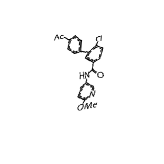 COc1ccc(NC(=O)c2ccc(Cl)c(-c3ccc(C(C)=O)cc3)c2)cn1